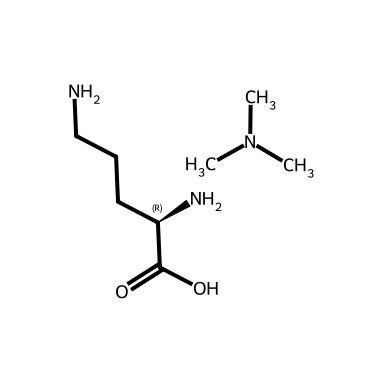 CN(C)C.NCCC[C@@H](N)C(=O)O